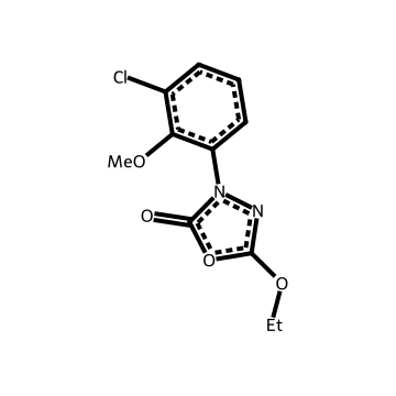 CCOc1nn(-c2cccc(Cl)c2OC)c(=O)o1